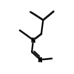 C/N=C\N(C)CC(C)C